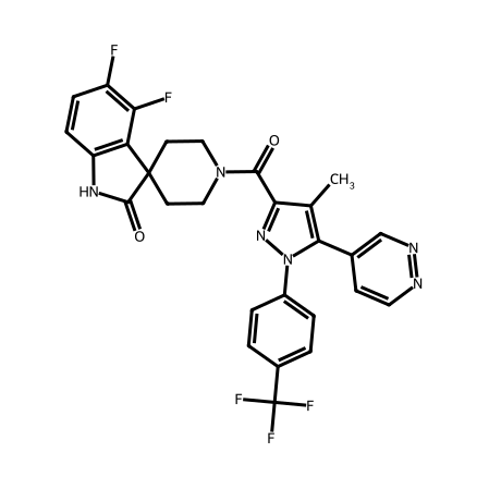 Cc1c(C(=O)N2CCC3(CC2)C(=O)Nc2ccc(F)c(F)c23)nn(-c2ccc(C(F)(F)F)cc2)c1-c1ccnnc1